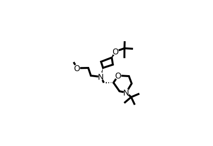 COCCN(C[C@H]1CN(C(C)(C)C)CCO1)[C@H]1C[C@H](OC(C)(C)C)C1